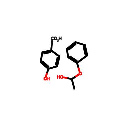 CC(O)Oc1ccccc1.O=C(O)c1ccc(O)cc1